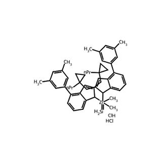 CCCC1(CC2=Cc3c(-c4cc(C)cc(C)c4)cccc3[CH]2[Zr]([CH3])([CH3])(=[SiH2])[CH]2C(CC3(CCC)CC3)=Cc3c(-c4cc(C)cc(C)c4)cccc32)CC1.Cl.Cl